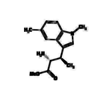 COC(=O)[C@H](N)[C@H](C)c1cn(C)c2ccc(C)cc12